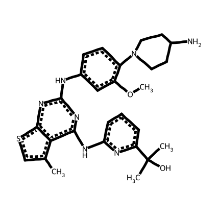 COc1cc(Nc2nc(Nc3cccc(C(C)(C)O)n3)c3c(C)csc3n2)ccc1N1CCC(N)CC1